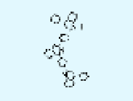 CC1(c2ccc(-c3cc4ccccc4c(-c4ccc(-c5cc(-c6ccccc6)c6ccccc6n5)cc4)n3)cc2)C=C(c2ccccc2)c2ccccc2N1